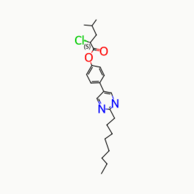 CCCCCCCCc1ncc(-c2ccc(OC(=O)[C@@H](Cl)CC(C)C)cc2)cn1